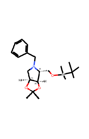 CC1(C)O[C@H]2[C@H](CN(Cc3ccccc3)[C@@H]2CO[Si](C)(C)C(C)(C)C)O1